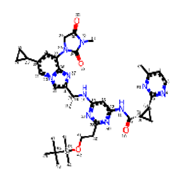 Cc1ccnc([C@H]2C[C@@H]2C(=O)Nc2cc(N[C@H](C)c3cn4cc(C5CC5)cc(N5CC(=O)N(C)C5=O)c4n3)nc(CCO[Si](C)(C)C(C)(C)C)n2)n1